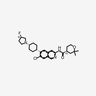 CC1(C)C[C@@H](C(=O)Nc2cc3cc([C@H]4CC[C@@H](N5CC[C@@H](F)C5)CC4)c(Cl)cc3cn2)CCO1